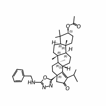 CC(=O)O[C@H]1CC[C@]2(C)[C@H]3CC[C@@H]4C5=C(C(C)C)C(=O)C[C@]5(c5nnc(NCc6ccccc6)o5)CC[C@@]4(C)[C@]3(C)CC[C@H]2C1(C)C